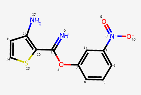 N=C(Oc1cccc([N+](=O)[O-])c1)c1sccc1N